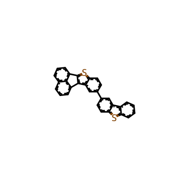 c1cc2c3c(cccc3c1)-c1c-2sc2ccc(-c3ccc4sc5ccccc5c4c3)cc12